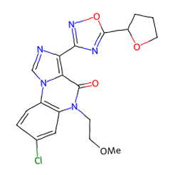 COCCn1c(=O)c2c(-c3noc(C4CCCO4)n3)ncn2c2ccc(Cl)cc21